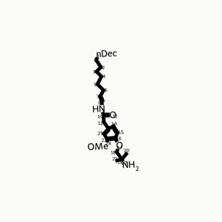 CCCCCCCCCCCCCCCCC=CNC(=O)Cc1ccc(OCC(C)(C)N)c(OC)c1